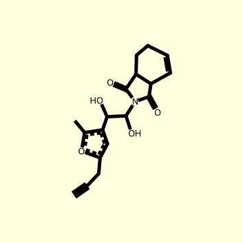 C#CCc1cc(C(O)C(O)N2C(=O)C3C=CCCC3C2=O)c(C)o1